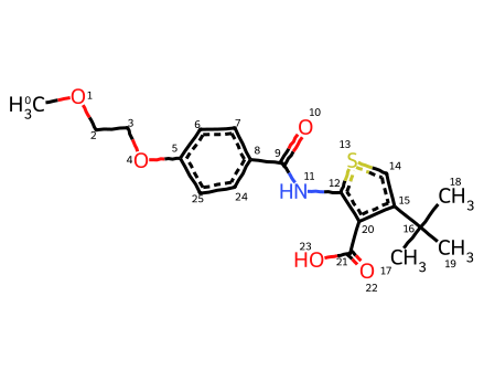 COCCOc1ccc(C(=O)Nc2scc(C(C)(C)C)c2C(=O)O)cc1